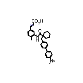 Cc1ccc(/C=C/C(=O)O)cc1NC(=O)C1(Cc2ccc(-c3ccc(N(C)C)cc3)cc2)CCCCC1